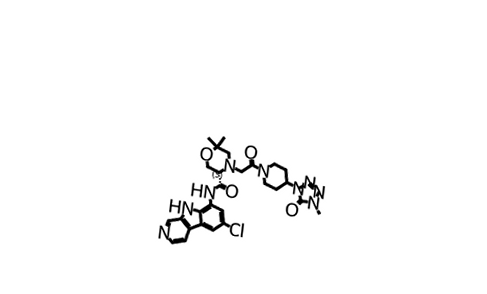 Cn1nnn(C2CCN(C(=O)CN3CC(C)(C)OC[C@H]3C(=O)Nc3cc(Cl)cc4c3[nH]c3cnccc34)CC2)c1=O